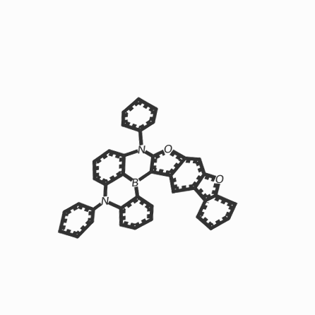 c1ccc(N2c3ccccc3B3c4c2cccc4N(c2ccccc2)c2oc4cc5oc6ccccc6c5cc4c23)cc1